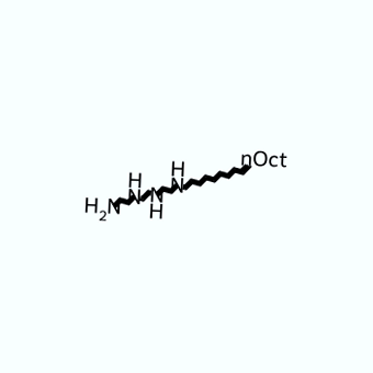 CCCCCCCC/C=C\CCCCCCCCNCCNCCNCCN